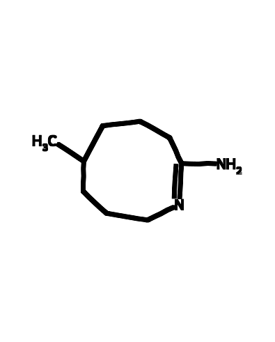 CC1CCC/N=C(/N)CCC1